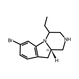 CCC1CNC[C@@H]2Cc3ccc(Br)cc3N12